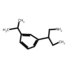 CCC(CN)c1cccc(C(C)C)c1